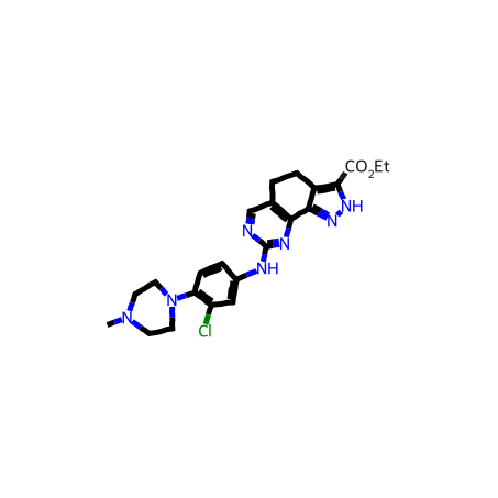 CCOC(=O)c1[nH]nc2c1CCc1cnc(Nc3ccc(N4CCN(C)CC4)c(Cl)c3)nc1-2